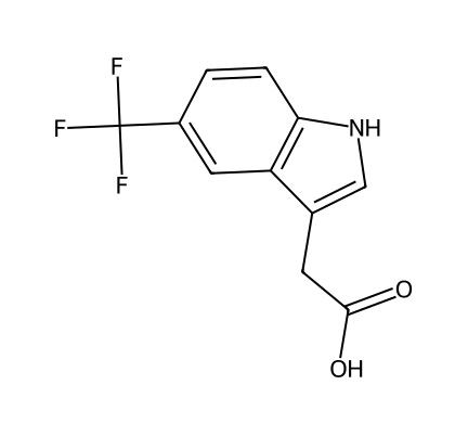 O=C(O)Cc1c[nH]c2ccc(C(F)(F)F)cc12